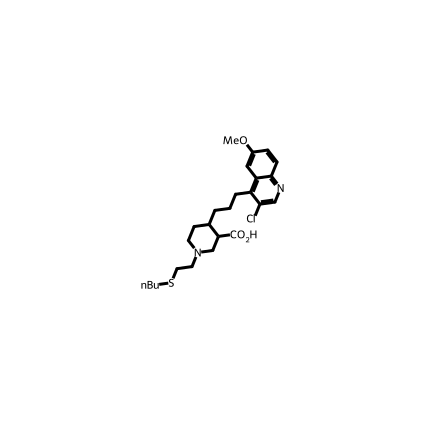 CCCCSCCN1CCC(CCCc2c(Cl)cnc3ccc(OC)cc23)C(C(=O)O)C1